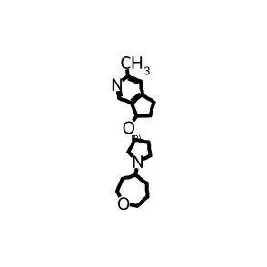 Cc1cc2c(cn1)C(O[C@@H]1CCN(C3CCCOCC3)C1)CC2